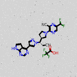 N#CC[C@@H]([C@H]1CCN(c2ncc(C(F)F)nc2C#N)C1)n1cc(-c2ncnc3[nH]ccc23)cn1.O=C(O)C(F)(F)F